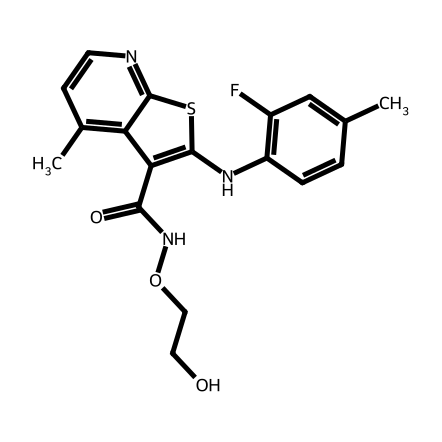 Cc1ccc(Nc2sc3nccc(C)c3c2C(=O)NOCCO)c(F)c1